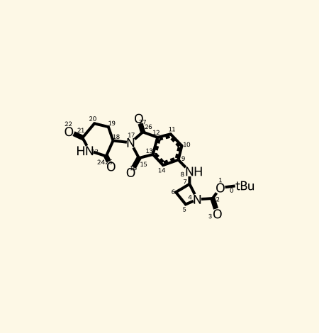 CC(C)(C)OC(=O)N1CCC1Nc1ccc2c(c1)C(=O)N(C1CCC(=O)NC1=O)C2=O